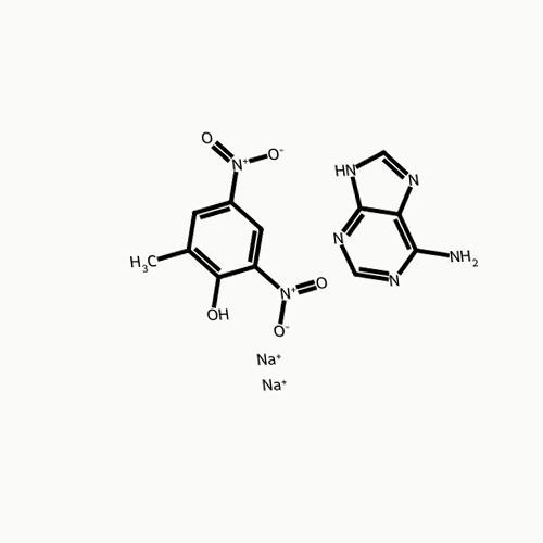 Cc1cc([N+](=O)[O-])cc([N+](=O)[O-])c1O.Nc1ncnc2[nH]cnc12.[Na+].[Na+]